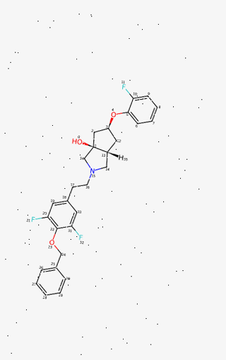 O[C@@]12C[C@@H](Oc3ccccc3F)C[C@@H]1CN(CCc1cc(F)c(OCc3ccccc3)c(F)c1)C2